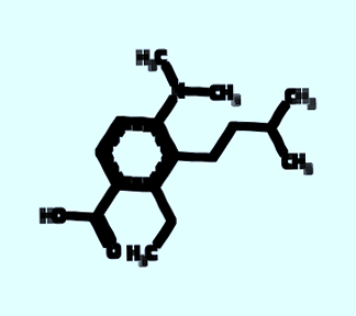 CCc1c(C(=O)O)ccc(N(C)C)c1CCC(C)C